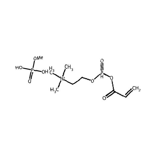 C=CC(=O)O[PH](=O)OCC[N+](C)(C)C.COP(=O)(O)O